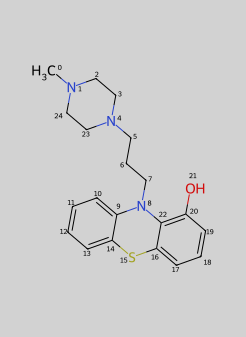 CN1CCN(CCCN2c3ccccc3Sc3cccc(O)c32)CC1